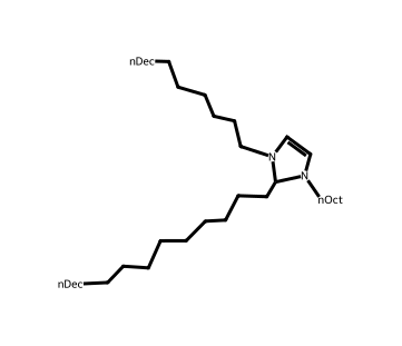 CCCCCCCCCCCCCCCCCCCC1N(CCCCCCCC)C=CN1CCCCCCCCCCCCCCCC